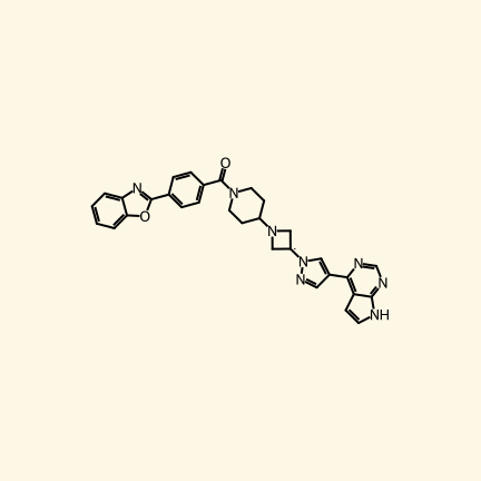 O=C(c1ccc(-c2nc3ccccc3o2)cc1)N1CCC(N2C[C](n3cc(-c4ncnc5[nH]ccc45)cn3)C2)CC1